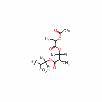 CCC(CC)(OC(=O)C(C)C(CC)(CC)OC(=O)C(C)OC(=O)OC(C)=O)C(C)C(=O)O